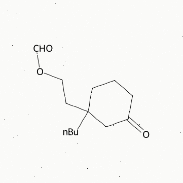 CCCCC1(CCOC=O)CCCC(=O)C1